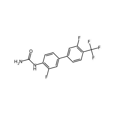 NC(=O)Nc1ccc(-c2ccc(C(F)(F)F)c(F)c2)cc1F